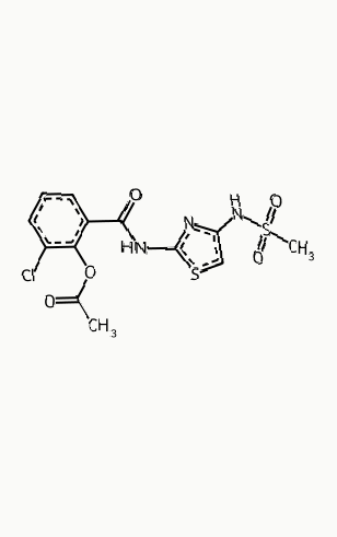 CC(=O)Oc1c(Cl)cccc1C(=O)Nc1nc(NS(C)(=O)=O)cs1